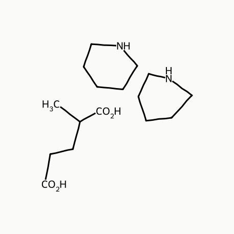 C1CCNCC1.C1CCNCC1.CC(CCC(=O)O)C(=O)O